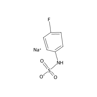 O=S(=O)([O-])Nc1ccc(F)cc1.[Na+]